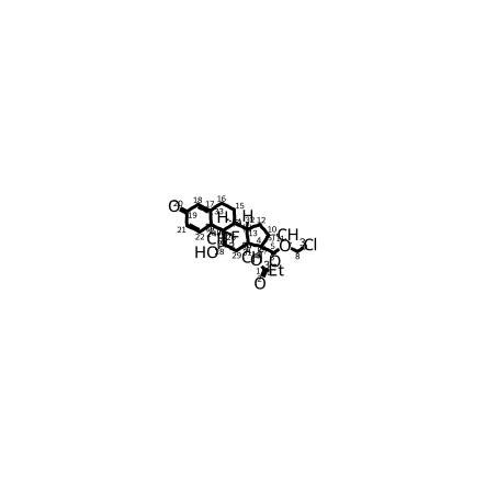 CCC(=O)O[C@@]1(C(=O)OCCl)[C@@H](C)C[C@H]2[C@@H]3CCC4=CC(=O)C=C[C@]4(C)[C@@]3(F)[C@@H](O)C[C@@]21C